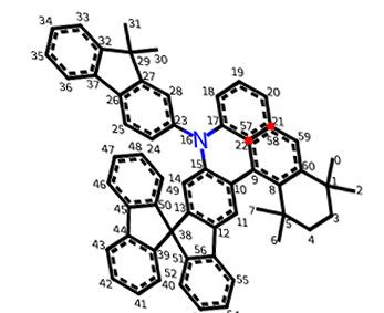 CC1(C)CCC(C)(C)c2c(-c3cc4c(cc3N(c3ccccc3)c3ccc5c(c3)C(C)(C)c3ccccc3-5)C3(c5ccccc5-c5ccccc53)c3ccccc3-4)cccc21